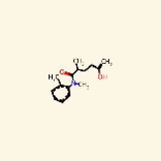 C=C(O)CCC(C)C(=O)N(C)c1ccccc1C